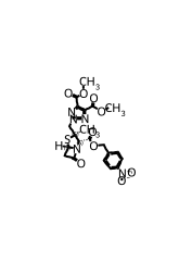 COC(=O)c1nn(C[C@]2(C)S[C@H]3CC(=O)N3[C@H]2C(=O)OCc2ccc([N+](=O)[O-])cc2)nc1C(=O)OC